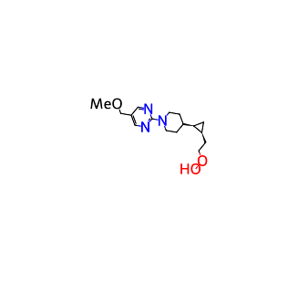 COCc1cnc(N2CCC([C@H]3C[C@H]3CCOO)CC2)nc1